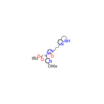 COc1ccc([C@H](CC(=O)OC(C)(C)C)n2ccn(CCCc3ccc4c(n3)NCCC4)c2=O)cn1